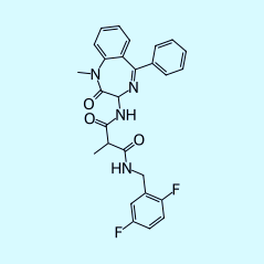 CC(C(=O)NCc1cc(F)ccc1F)C(=O)NC1N=C(c2ccccc2)c2ccccc2N(C)C1=O